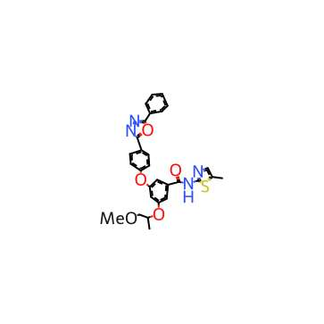 COCC(C)Oc1cc(Oc2ccc(-c3nnc(-c4ccccc4)o3)cc2)cc(C(=O)Nc2ncc(C)s2)c1